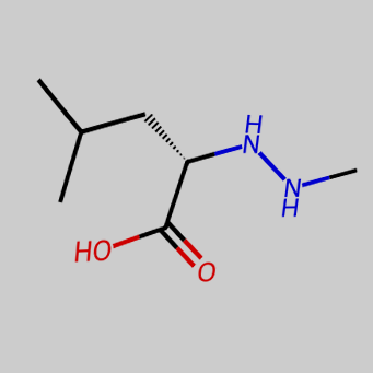 CNN[C@@H](CC(C)C)C(=O)O